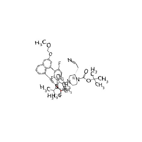 COCOc1cc(-c2c(F)cc3c(N4CCN(C(=O)OC(C)(C)C)[C@@H](CC#N)C4)nc(F)nc3c2F)c2c(C#C[Si](C(C)C)(C(C)C)C(C)C)cccc2c1